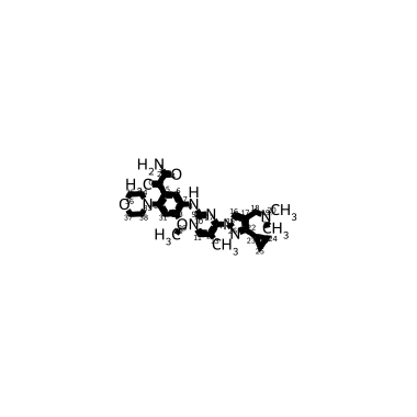 C=C(C(N)=O)c1cc(Nc2ncc(C)c(-n3cc(CN(C)C)c(C4CC4)n3)n2)c(OC)cc1N1CCOCC1